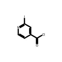 O=C(Cl)c1ccnc(I)c1